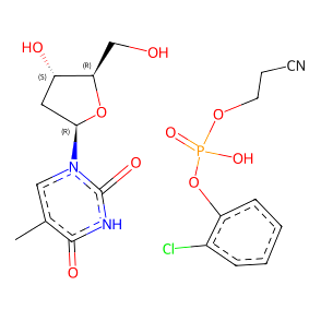 Cc1cn([C@H]2C[C@H](O)[C@@H](CO)O2)c(=O)[nH]c1=O.N#CCCOP(=O)(O)Oc1ccccc1Cl